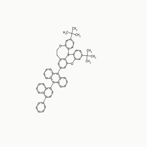 CC(C)(C)c1ccc2c(c1)OCCc1cc(-c3c4ccccc4c(-c4ccc(-c5ccccc5)c5ccccc45)c4ccccc34)cc3c1B2c1ccc(C(C)(C)C)cc1O3